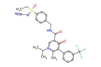 CCS(=O)(=NC#N)c1ccc(CNC(=O)c2cn(C(C)C)c(C)c(-c3cccc(C(F)(F)F)c3)c2=O)cc1